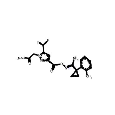 CNC(=O)Cn1nc(C(=O)O/N=C(\N)C2(c3ccccc3C)CC2)cc1C(F)F